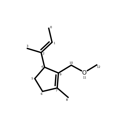 C/C=C(\C)C1CCC(C)=C1COC